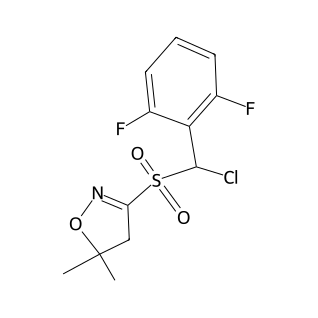 CC1(C)CC(S(=O)(=O)C(Cl)c2c(F)cccc2F)=NO1